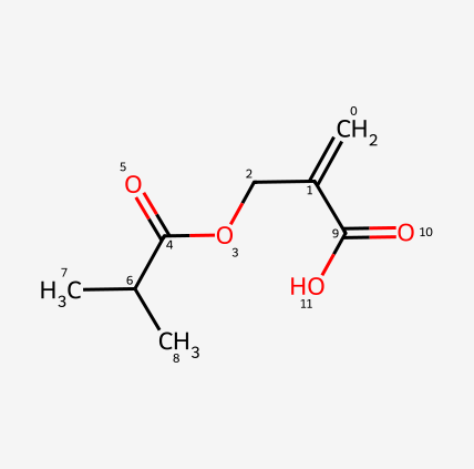 C=C(COC(=O)C(C)C)C(=O)O